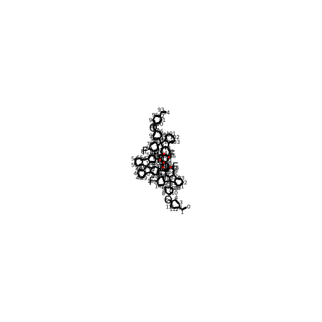 C=Cc1ccc(Oc2ccc(C3(c4ccc(F)cc4)c4ccccc4-c4ccc(N(c5cc(F)cc(F)c5)c5ccc6c(c5)C5(c7ccccc7-6)c6ccccc6-c6ccc(N(c7cc(F)cc(F)c7)c7ccc8c(c7)C(c7ccc(F)cc7)(c7ccc(Oc9ccc(C=C)cc9)cc7)c7ccccc7-8)cc65)cc43)cc2)cc1